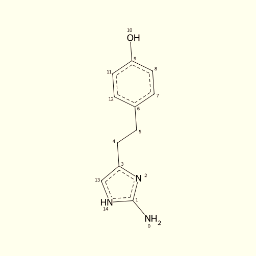 Nc1nc(CCc2ccc(O)cc2)c[nH]1